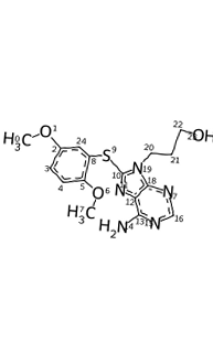 COc1ccc(OC)c(Sc2nc3c(N)ncnc3n2CCCO)c1